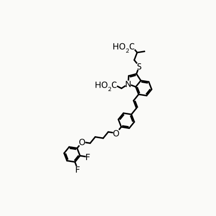 CC(CSc1cn(CC(=O)O)c2c(C=Cc3ccc(OCCCCOc4cccc(F)c4F)cc3)cccc12)C(=O)O